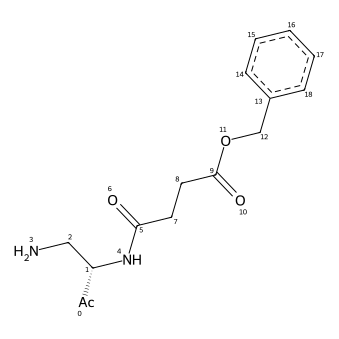 CC(=O)[C@H](CN)NC(=O)CCC(=O)OCc1ccccc1